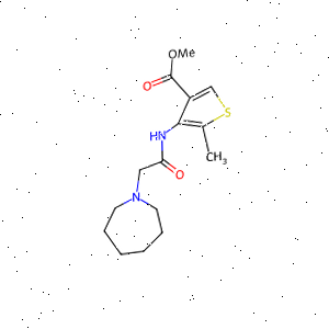 COC(=O)c1csc(C)c1NC(=O)CN1CCCCCC1